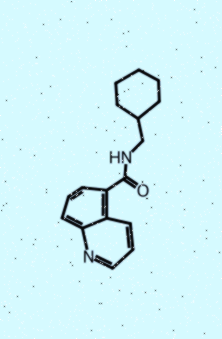 O=C(NCC1CCCCC1)c1cccc2ncccc12